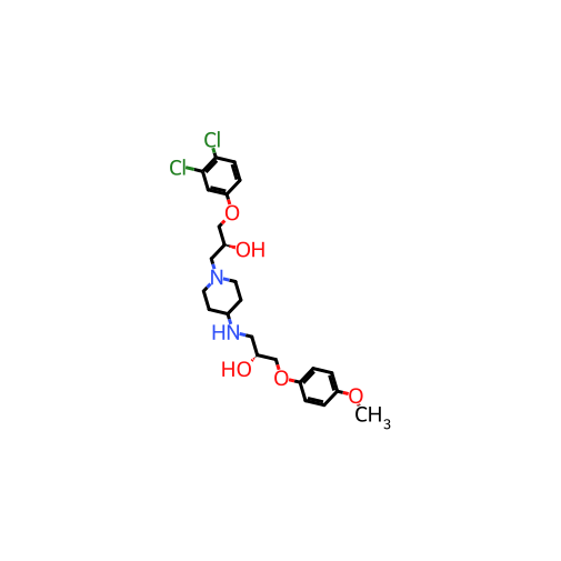 COc1ccc(OC[C@H](O)CNC2CCN(C[C@H](O)COc3ccc(Cl)c(Cl)c3)CC2)cc1